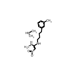 CNC.CNC(=C[N+](=O)[O-])NCCCCc1cccc(C)c1